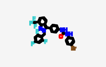 O=C(Nc1ccc(Br)cc1)Nc1ccc(-c2c3cccc(C(F)(F)F)c3nn2Cc2c(F)cc(F)cc2F)cc1